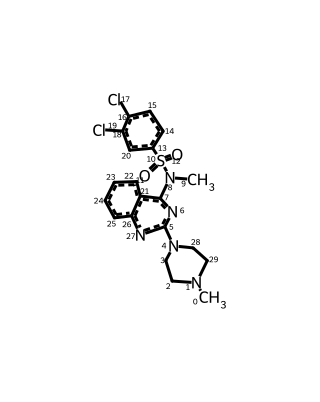 CN1CCN(c2nc(N(C)S(=O)(=O)c3ccc(Cl)c(Cl)c3)c3ccccc3n2)CC1